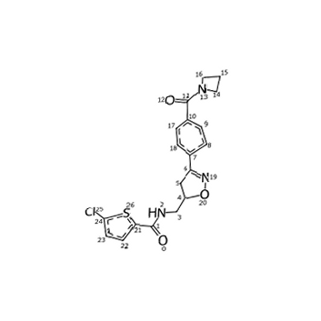 O=C(NCC1CC(c2ccc(C(=O)N3CCC3)cc2)=NO1)c1ccc(Cl)s1